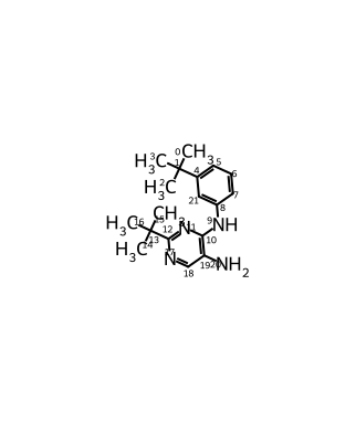 CC(C)(C)c1cccc(Nc2nc(C(C)(C)C)ncc2N)c1